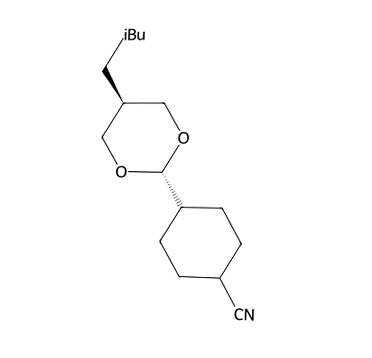 CCC(C)C[C@H]1CO[C@H](C2CCC(C#N)CC2)OC1